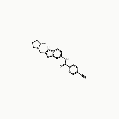 C#Cc1ccc(C(=O)Nc2ccc3[nH]c(CN4CCC[C@@H]4C)nc3c2)cc1